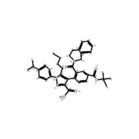 CCCCc1c(-c2ccc(C(=O)OC(C)(C)C)cc2C(=O)N2CCc3ccccc3C2)c(C(=O)O)nn1-c1ccc(C(C)C)cc1